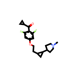 CN1CCC(C2CC2CCOc2cc(F)c(C(=O)C3CC3)c(F)c2)CC1